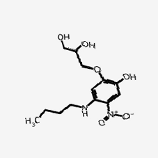 CCCCNc1cc(OCC(O)CO)c(O)cc1[N+](=O)[O-]